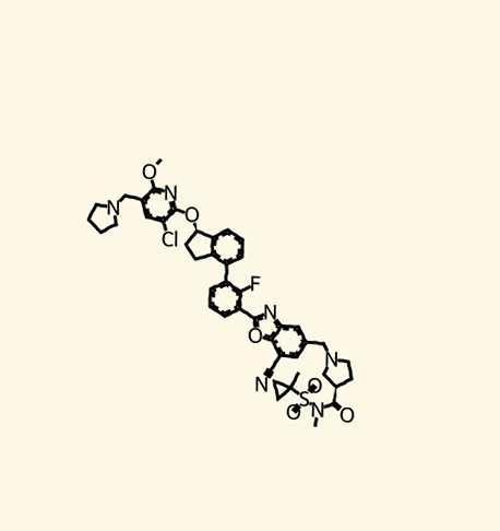 COc1nc(O[C@@H]2CCc3c(-c4cccc(-c5nc6cc(CN7CC[C@@H](C(=O)N(C)S(=O)(=O)C8(C)CC8)C7)cc(C#N)c6o5)c4F)cccc32)c(Cl)cc1CN1CCCC1